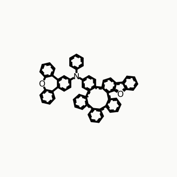 c1ccc(N(c2ccc3c(c2)-c2ccccc2Oc2ccccc2-3)c2ccc3c(c2)c2ccccc2c2ccccc2c2ccccc2c2c3ccc3c4ccccc4oc32)cc1